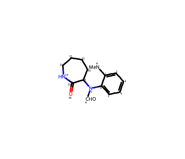 CNc1ccccc1N(C=O)C1CCCCNC1=O